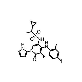 Cc1cc(I)ccc1Nc1c(NS(=O)(=O)C(C)C2CC2)cn(-c2ccc[nH]2)c(=O)c1F